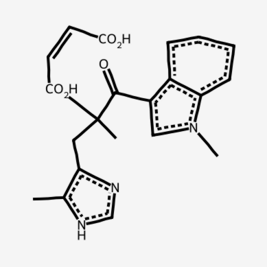 Cc1[nH]cnc1CC(C)(C)C(=O)c1cn(C)c2ccccc12.O=C(O)/C=C\C(=O)O